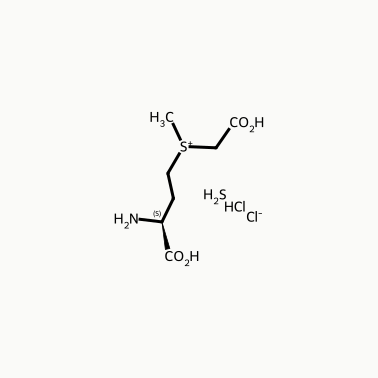 C[S+](CC[C@H](N)C(=O)O)CC(=O)O.Cl.S.[Cl-]